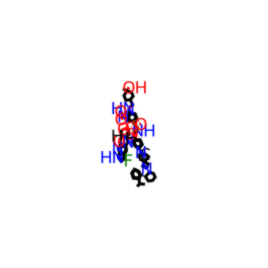 CC(C)c1ccccc1[C@@H]1CCCC[C@H]1N1CC2(CCN(c3ccc(C(=O)NS(=O)(=O)c4ccc(NCC5CCC(C)(O)CC5)c([N+](=O)[O-])c4)c(N4c5cc6c(F)c[nH]c6nc5O[C@H]5COCC[C@@H]54)c3)CC2)C1